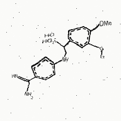 CCOc1cc(C(Nc2ccc(C(=N)N)cc2)C(=O)O)ccc1OC.Cl